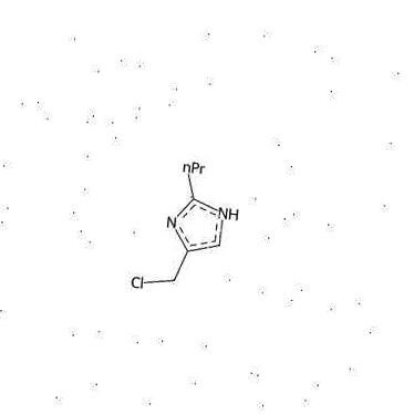 CCCc1nc(CCl)c[nH]1